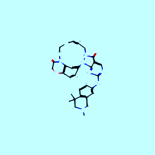 CN1Cc2cc(Nc3ncc4c(=O)n5n(c4n3)-c3ccc4c(c3)N(CCC/C=C\C5)C(=O)CO4)ccc2C(C)(C)C1